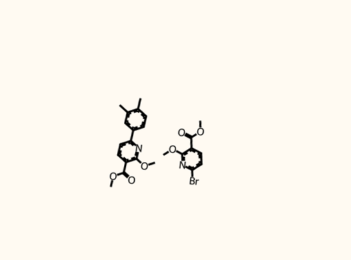 COC(=O)c1ccc(-c2ccc(C)c(C)c2)nc1OC.COC(=O)c1ccc(Br)nc1OC